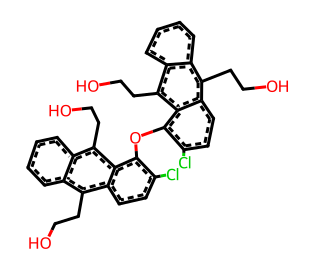 OCCc1c2ccccc2c(CCO)c2c(Oc3c(Cl)ccc4c(CCO)c5ccccc5c(CCO)c34)c(Cl)ccc12